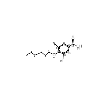 CCCCCCOc1c(I)cc(C(=O)O)cc1I